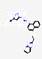 Cn1nc(C(C)(C)C)cc1NC(=O)Nc1ccc(OCCc2nc3ncccc3[nH]2)c2ccccc12